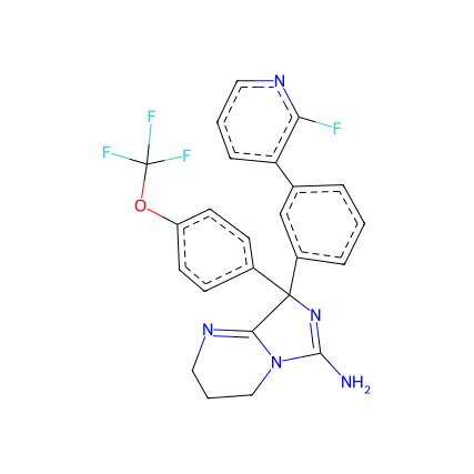 NC1=NC(c2ccc(OC(F)(F)F)cc2)(c2cccc(-c3cccnc3F)c2)C2=NCCCN12